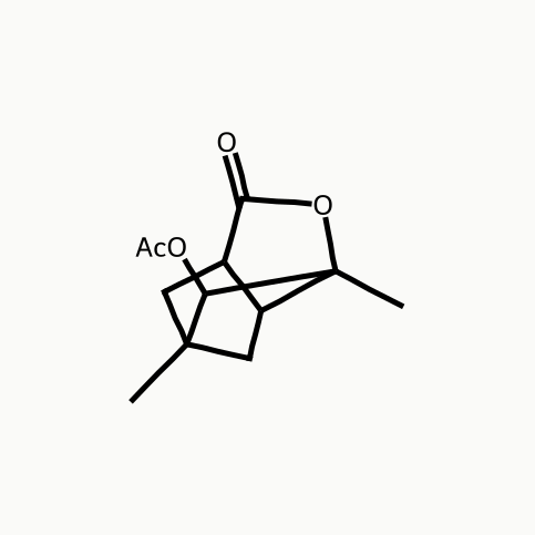 CC(=O)OC1C2(C)CC3C(=O)OC1(C)C3C2